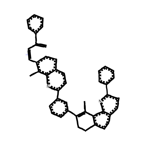 C=C(/C=C\c1ccc2ccc(-c3cccc(C4=C(C)c5c(ccc6ccc(-c7ccccc7)nc56)CC4)c3)nc2c1C)c1ccccc1